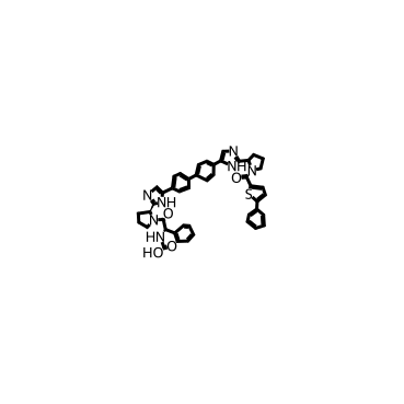 O=C(O)N[C@@H](C(=O)N1CCC[C@H]1c1ncc(-c2ccc(-c3ccc(-c4cnc(C5CCCN5C(=O)c5ccc(-c6ccccc6)s5)[nH]4)cc3)cc2)[nH]1)c1ccccc1